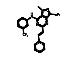 CCCc1nn(C)c2c(Nc3cccc(C(F)(F)F)c3)nc(C=Cc3ccccc3)nc12